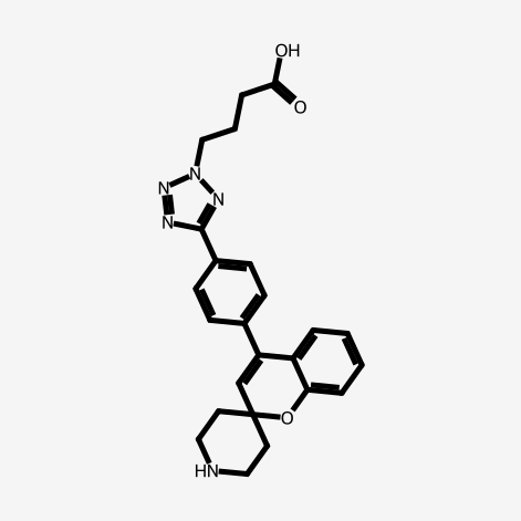 O=C(O)CCCn1nnc(-c2ccc(C3=CC4(CCNCC4)Oc4ccccc43)cc2)n1